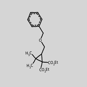 CCOC(=O)C1(C(=O)OCC)C(COCc2ccccc2)C1(C)C